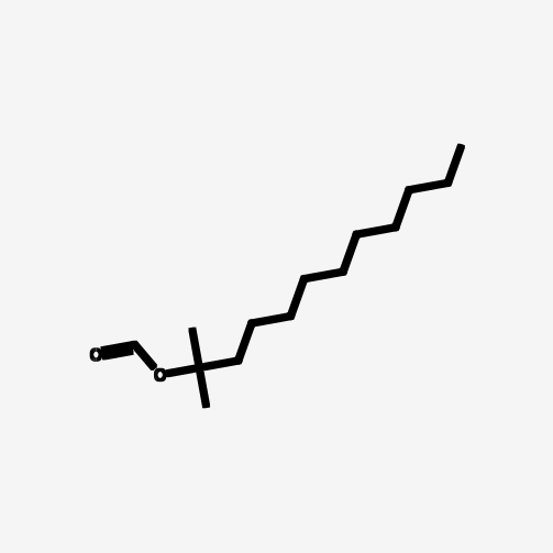 CCCCCCCCCCC(C)(C)OC=O